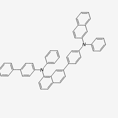 c1ccc(-c2ccc(N(c3ccccc3)c3cccc4ccc(-c5ccc(N(c6ccccc6)c6ccc7ccccc7c6)cc5)cc34)cc2)cc1